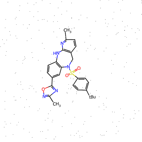 Cc1ccc2c(n1)Nc1ccc(-c3nc(C)no3)cc1N(S(=O)(=O)c1ccc(C(C)(C)C)cc1)C2